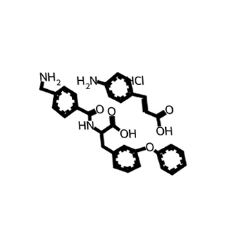 Cl.NCc1ccc(C(=O)NC(Cc2cccc(Oc3ccccc3)c2)C(=O)O)cc1.Nc1ccc(C=CC(=O)O)cc1